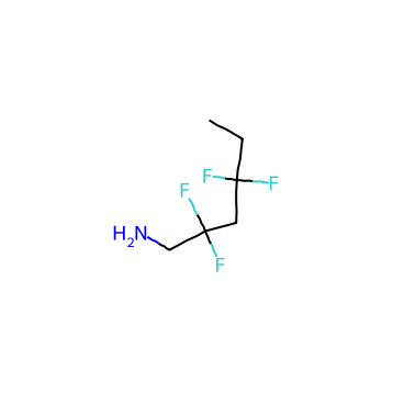 CCC(F)(F)CC(F)(F)CN